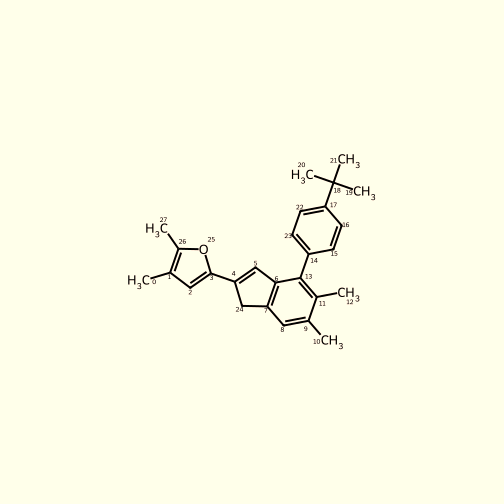 Cc1cc(C2=Cc3c(cc(C)c(C)c3-c3ccc(C(C)(C)C)cc3)C2)oc1C